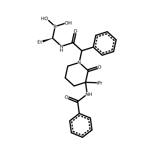 CC[C@H](NC(=O)C(c1ccccc1)N1CCCC(NC(=O)c2ccccc2)(C(C)C)C1=O)B(O)O